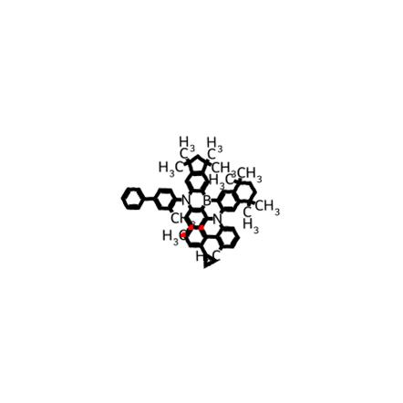 Cc1cc2c3c(c1)N(c1cccc(C)c1-c1ccccc1C1CC1)c1cc4c(cc1B3c1cc3c(cc1N2c1ccc(-c2ccccc2)cc1C)C(C)(C)CC3(C)C)C(C)(C)CCC4(C)C